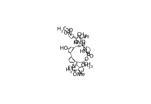 C=CS(=O)(=O)N1CC[C@H](C(=O)N(C)[C@H](C(=O)N[C@H]2Cc3cc(O)cc(c3)-c3ccc4c(c3)c(c(-c3cccnc3[C@H](C)OC)n4CC)CC(C)(C)COC(=O)[C@@H]3CCCN(N3)C2=O)C(C)C)C1